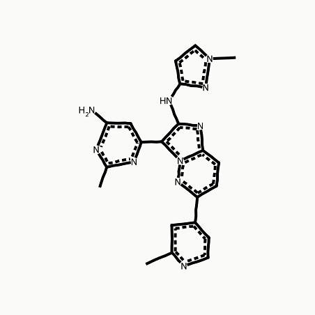 Cc1cc(-c2ccc3nc(Nc4ccn(C)n4)c(-c4cc(N)nc(C)n4)n3n2)ccn1